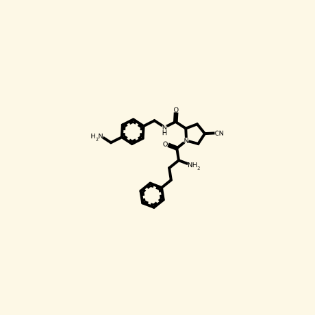 N#CC1CC(C(=O)NCc2ccc(CN)cc2)N(C(=O)C(N)CCc2ccccc2)C1